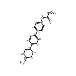 CCCCCCCCC(=O)Oc1ccc(-c2ccc(C3=CCC(C)CC3)cc2)cc1